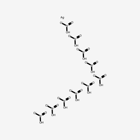 O=[N+]([O-])O.O=[N+]([O-])O.O=[N+]([O-])O.O=[N+]([O-])O.O=[N+]([O-])O.O=[N+]([O-])O.O=[N+]([O-])O.O=[N+]([O-])O.O=[N+]([O-])O.O=[N+]([O-])O.[Ag]